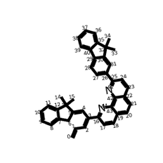 C=C/C=C(\C=C1/Cc2ccccc2C1(C)C)c1ccc2ccc3ccc(-c4ccc5c(c4)C(C)(C)c4ccccc4-5)nc3c2n1